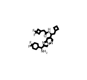 N[C@H](c1cn2ncc(C(CC3CCC3)NC(=O)CC3CC(F)(F)C3)cc2n1)C1CCC(F)(F)CC1